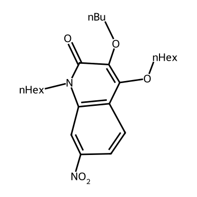 CCCCCCOc1c(OCCCC)c(=O)n(CCCCCC)c2cc([N+](=O)[O-])ccc12